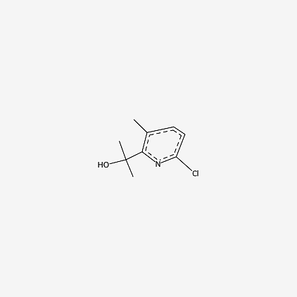 Cc1ccc(Cl)nc1C(C)(C)O